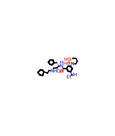 CCNc1cc(C(=O)N[C@@H](Cc2ccccc2)[C@@H](O)CNCCc2ccccc2)cc(N2CCCCS2(O)O)c1